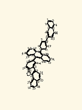 c1ccc2cc(-c3ccc(-c4c5ccccc5c(-c5ccc6oc7c8ccccc8ccc7c6c5)c5ccccc45)cc3)ccc2c1